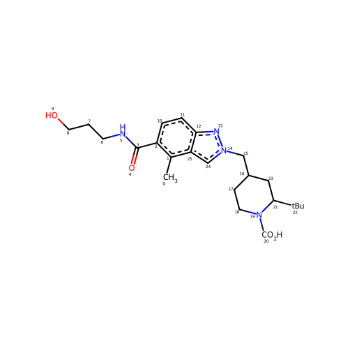 Cc1c(C(=O)NCCCO)ccc2nn(CC3CCN(C(=O)O)C(C(C)(C)C)C3)cc12